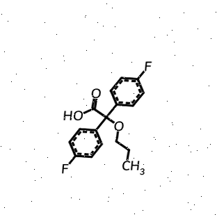 CCCOC(C(=O)O)(c1ccc(F)cc1)c1ccc(F)cc1